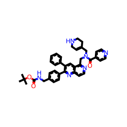 CC(C)(C)OC(=O)NCc1ccc(-c2nc3ccnc(CN(CC4=CCNCC4)C(=O)c4ccncc4)c3cc2-c2ccccc2)cc1